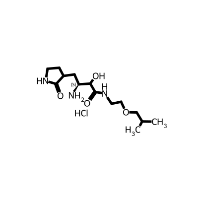 CC(C)COCCNC(=O)C(O)[C@@H](N)CC1CCNC1=O.Cl